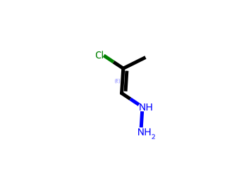 C/C(Cl)=C\NN